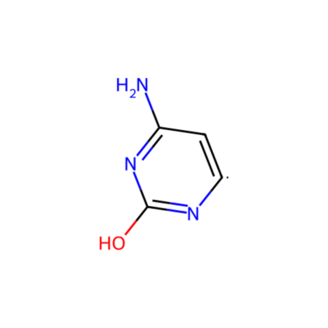 Nc1c[c]nc(O)n1